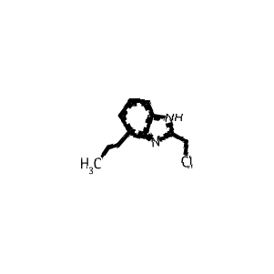 CCCc1cccc2[nH]c(CCl)nc12